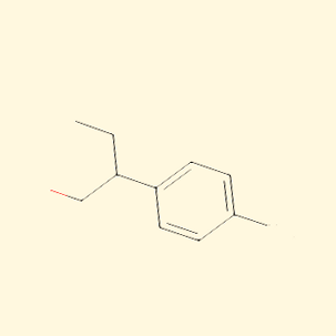 Bc1ccc(C(CC)CO)cc1